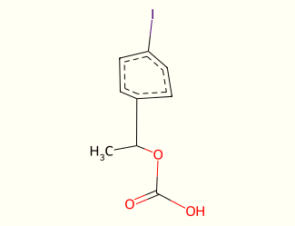 CC(OC(=O)O)c1ccc(I)cc1